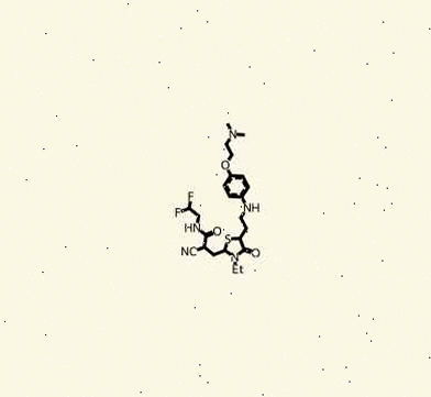 CCN1C(=O)C(CCNc2ccc(OCCN(C)C)cc2)SC1CC(C#N)C(=O)NCC(F)F